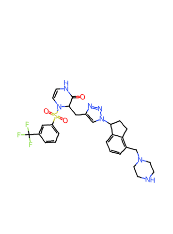 O=C1NC=CN(S(=O)(=O)c2cccc(C(F)(F)F)c2)C1Cc1cn(C2CCc3c(CN4CCNCC4)cccc32)nn1